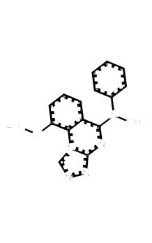 COc1cccc2c(N(C)c3ccccc3)nc3nncn3c12